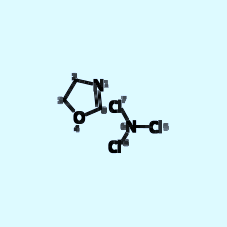 C1=NCCO1.ClN(Cl)Cl